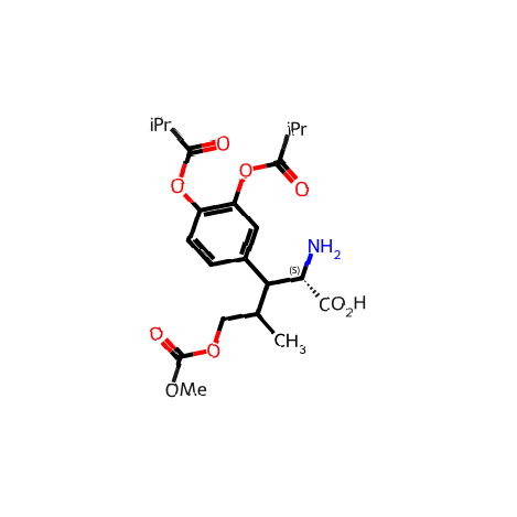 COC(=O)OCC(C)C(c1ccc(OC(=O)C(C)C)c(OC(=O)C(C)C)c1)[C@H](N)C(=O)O